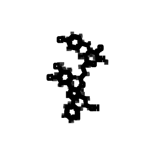 NC(=O)[C@H](Cc1ccc(Cl)cc1)NC(=O)CCCOc1c(CCO)c(-c2cccnc2)nn1-c1ccc(Cl)c(Cl)c1